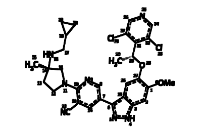 COc1cc2[nH]nc(-c3cnc(N4CC[C@](C)(NCC5CC5)C4)c(C#N)c3)c2cc1O[C@H](C)c1c(Cl)cncc1Cl